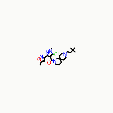 Cc1cc(-c2nn(C)c(Cl)c2C(=O)N2CCCC3(CCN(CCC(C)(C)C)CC3)C2)no1